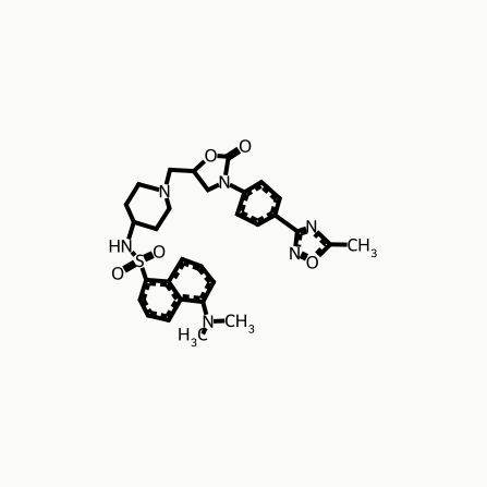 Cc1nc(-c2ccc(N3CC(CN4CCC(NS(=O)(=O)c5cccc6c(N(C)C)cccc56)CC4)OC3=O)cc2)no1